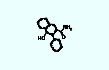 NC(=O)c1cc2ccccc2c(O)c1-c1ccccc1